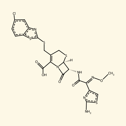 CON=C(C(=O)N[C@@H]1C(=O)N2C(C(=O)O)=C(CSc3nc4cc(Cl)ccc4s3)CS[C@@H]12)c1csc(N)n1